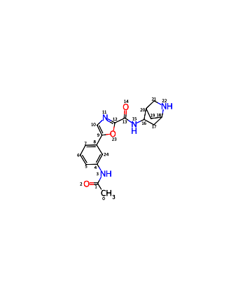 CC(=O)Nc1cccc(-c2cnc(C(=O)NC3CC4CC3CN4)o2)c1